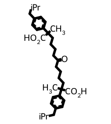 CC(C)Cc1ccc(C(C)(CCCCC(=O)CCCCC(C)(C(=O)O)c2ccc(CC(C)C)cc2)C(=O)O)cc1